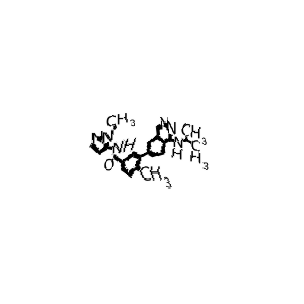 CCn1nccc1NC(=O)c1ccc(C)c(-c2ccc3c(NC(C)C)nncc3c2)c1